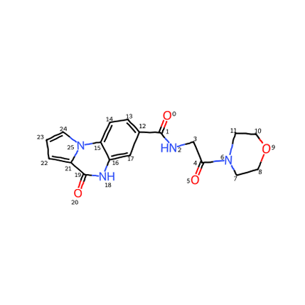 O=C(NCC(=O)N1CCOCC1)c1ccc2c(c1)[nH]c(=O)c1cccn12